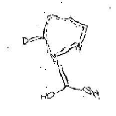 O=C(O)O.O=c1cccn[nH]1